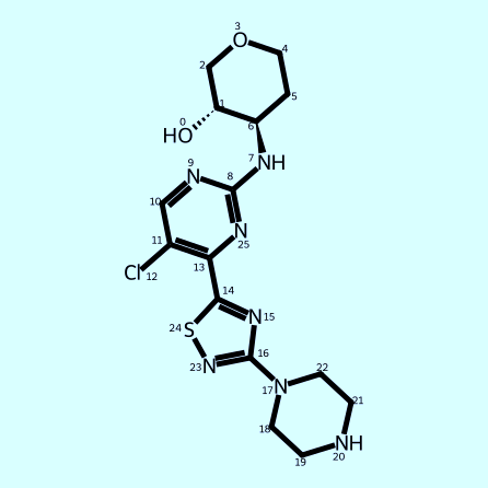 O[C@@H]1COCC[C@H]1Nc1ncc(Cl)c(-c2nc(N3CCNCC3)ns2)n1